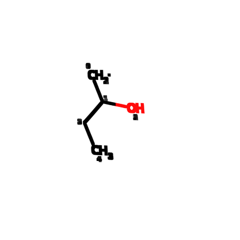 [CH2]C(O)CC